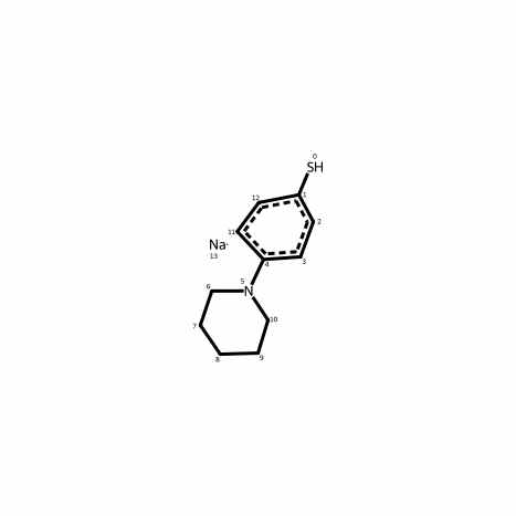 Sc1ccc(N2CCCCC2)cc1.[Na]